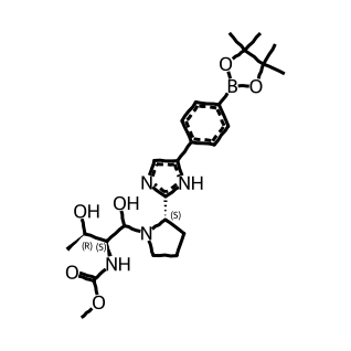 COC(=O)N[C@H](C(O)N1CCC[C@H]1c1ncc(-c2ccc(B3OC(C)(C)C(C)(C)O3)cc2)[nH]1)[C@@H](C)O